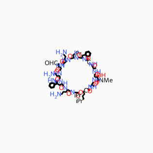 CNC(=O)C(O)C1NC(=O)C(C)NC(=O)CC(CCCC(C)C)OC(=O)C(C(C)C)N(C)C(=O)C(CCCN)NC(=O)C(Cc2c[nH]c3ccccc23)NC(=O)C(CC(N)=O)NC(=O)C(CCC=O)NC(=O)C(CCCN)NC(=O)C(CC(C)C)NC(=O)C(Cc2ccccc2)N(C)C(=O)CNC(=O)C(C)NC1=O